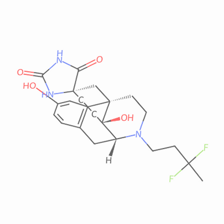 CC(F)(F)CCN1CC[C@]23C[C@]4(CC[C@@]2(O)[C@H]1Cc1ccc(O)cc13)NC(=O)NC4=O